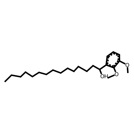 CCCCCCCCCCCCCCC(O)c1cccc(OC)c1OC